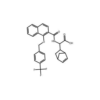 O=C(NC(C(=O)O)C1CC2C=CC1C2)c1ccc2ccccc2c1OCc1ccc(C(F)(F)F)cc1